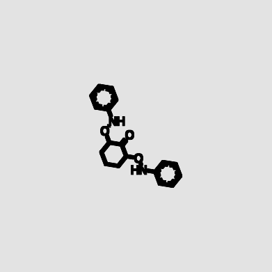 O=C1C(ONc2ccccc2)CCCC1ONc1ccccc1